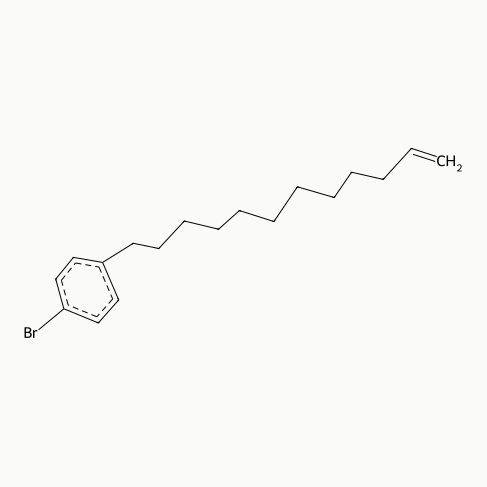 C=CCCCCCCCCCCc1ccc(Br)cc1